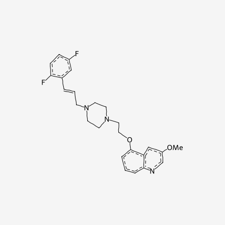 COc1cnc2cccc(OCCN3CCN(C/C=C/c4cc(F)ccc4F)CC3)c2c1